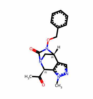 CC(=O)[C@@H]1c2c(cnn2C)[C@@H]2CN1C(=O)N2OCc1ccccc1